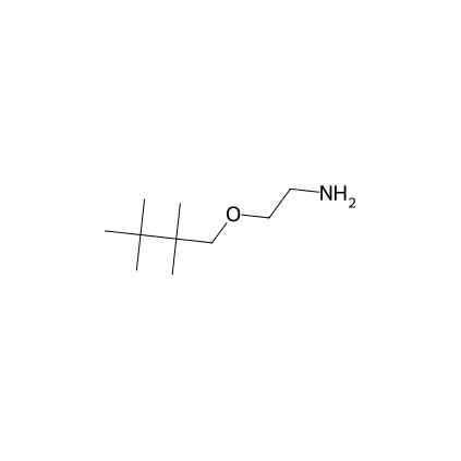 CC(C)(C)C(C)(C)COCCN